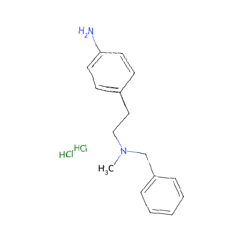 CN(CCc1ccc(N)cc1)Cc1ccccc1.Cl.Cl